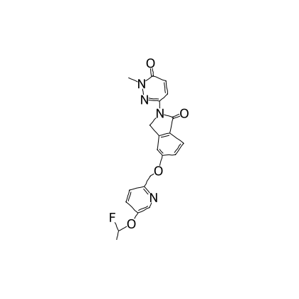 CC(F)Oc1ccc(COc2ccc3c(c2)CN(c2ccc(=O)n(C)n2)C3=O)nc1